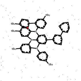 CC(C)(C)c1ccc(-c2cc(C(C)(C)C)ccc2N2c3ccc(C(C)(C)C)cc3B3c4cc(C(C)(C)C)ccc4N(c4ccc(C(C)(C)C)cc4)c4cc(-c5cccc(-c6ccccc6)c5)cc2c43)cc1